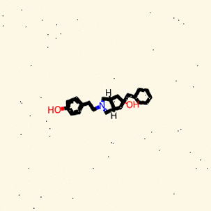 Oc1ccc(CCN2C[C@@H]3C[C@@](O)(CC4CCCCC4)C[C@@H]3C2)cc1